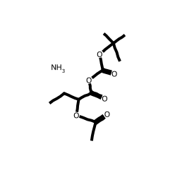 CCC(OC(C)=O)C(=O)OC(=O)OC(C)(C)C.N